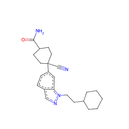 N#CC1(c2ccc3cnn(CCC4CCCCC4)c3c2)CCC(C(N)=O)CC1